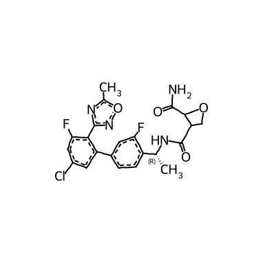 Cc1nc(-c2c(F)cc(Cl)cc2-c2ccc([C@@H](C)NC(=O)C3COC3C(N)=O)c(F)c2)no1